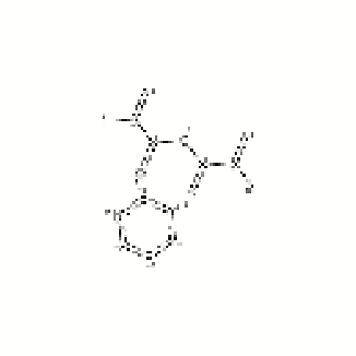 C=C(C)C(=O)OC(=O)C(=C)C.c1ccncc1